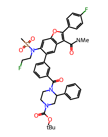 CNC(=O)c1c(-c2ccc(F)cc2)oc2cc(N(CCF)S(C)(=O)=O)c(-c3cccc(C(=O)N4CCN(C(=O)OC(C)(C)C)CC4c4ccccc4)c3)cc12